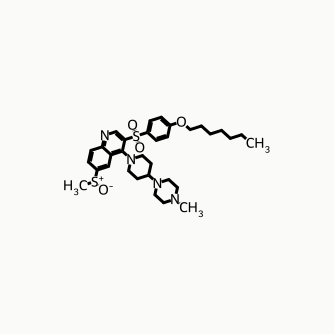 CCCCCCCOc1ccc(S(=O)(=O)c2cnc3ccc([S+](C)[O-])cc3c2N2CCC(N3CCN(C)CC3)CC2)cc1